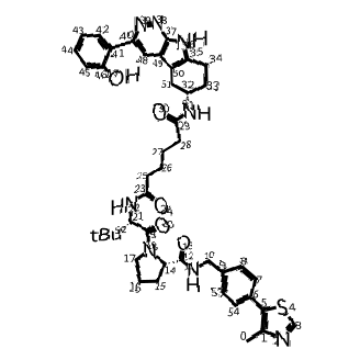 Cc1ncsc1-c1ccc(CNC(=O)[C@@H]2CCCN2C(=O)[C@@H](NC(=O)CCCCC(=O)N[C@H]2CCc3[nH]c4nnc(-c5ccccc5O)cc4c3C2)C(C)(C)C)cc1